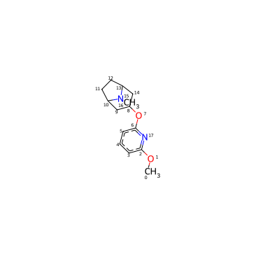 COc1cccc(OC2CC3CCC(C2)N3C)n1